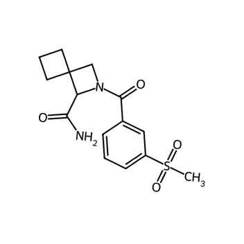 CS(=O)(=O)c1cccc(C(=O)N2CC3(CCC3)C2C(N)=O)c1